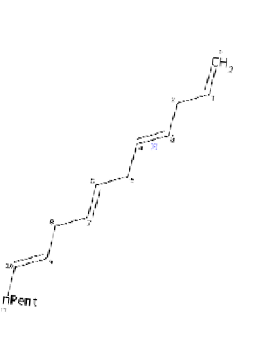 C=CC/[C]=C/CC=CCC=CCCCCC